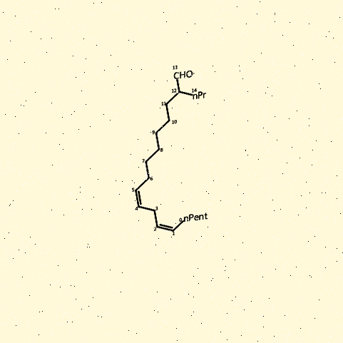 CCCCC/C=C\C/C=C\CCCCCCC([C]=O)CCC